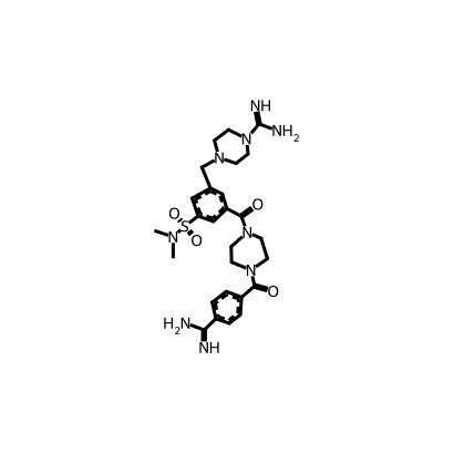 CN(C)S(=O)(=O)c1cc(CN2CCN(C(=N)N)CC2)cc(C(=O)N2CCN(C(=O)c3ccc(C(=N)N)cc3)CC2)c1